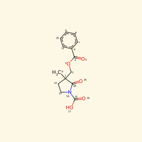 CC1(COC(=O)c2ccccc2)CCN(C(=O)O)C1=O